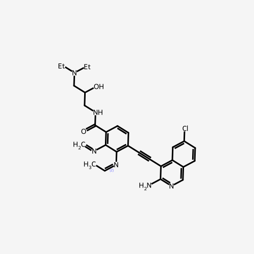 C=Nc1c(C(=O)NCC(O)CN(CC)CC)ccc(C#Cc2c(N)ncc3ccc(Cl)cc23)c1/N=C\C